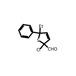 CCC1(c2ccccc2)C=CC(Cl)(C=O)S1